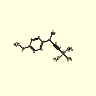 CSc1ccc(C(O)C#C[Si](C)(C)C)cc1